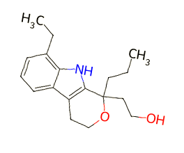 CCCC1(CCO)OCCc2c1[nH]c1c(CC)cccc21